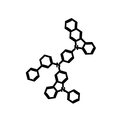 C1=C(c2ccccc2)CCC=C1N(c1ccc(-n2c3ccccc3c3cc4ccccc4cc32)cc1)c1ccc2c(c1)c1ccccc1n2-c1ccccc1